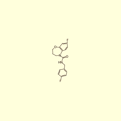 O=C(NCc1ccc(F)cc1)N1CCCOc2cc(F)ccc21